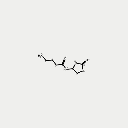 CCCCC(=O)NC1COC(=O)O1